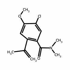 C=C(C)c1cc(OC)c(Cl)cc1C(=O)N(C)C